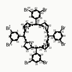 Brc1cc(Br)cc(-c2c3nc(c(-c4cc(Br)cc(Br)c4)c4ccc([nH]4)c(-c4cc(Br)cc(Br)c4)c4nc(c(-c5cc(Br)cc(Br)c5)c5ccc2[nH]5)C=C4)C=C3)c1